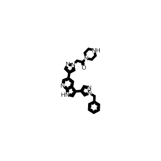 O=C(Cn1cc(-c2cnc3[nH]cc(-c4cnn(Cc5ccccc5)c4)c3c2)cn1)N1CCNCC1